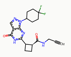 C#CCNC(=O)[C@H]1CCC1c1nc2c(cnn2C2CCC(F)(F)CC2)c(=O)[nH]1